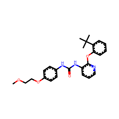 COCCOc1ccc(NC(=O)Nc2cccnc2Oc2ccccc2C(C)(C)C)cc1